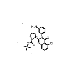 CC(C)(C)OC(=O)N1CCC[C@H]1c1nc2cccc(Cl)c2c(=O)n1-c1cccc(N)c1